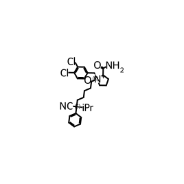 CC(C)[C@@](C#N)(CCCCC(=O)[N@@+]1(Cc2ccc(Cl)c(Cl)c2)CCCC1C(N)=O)c1ccccc1